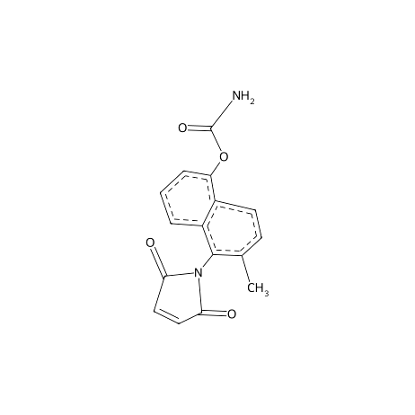 Cc1ccc2c(OC(N)=O)cccc2c1N1C(=O)C=CC1=O